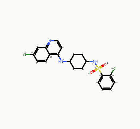 O=S(=O)(NC1CCC(Nc2ccnc3cc(Cl)ccc23)CC1)c1ccccc1Cl